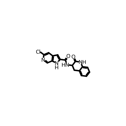 O=C(NC1Cc2ccccc2NC1=O)c1cc2cc(Cl)ncc2[nH]1